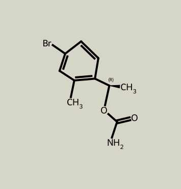 Cc1cc(Br)ccc1[C@@H](C)OC(N)=O